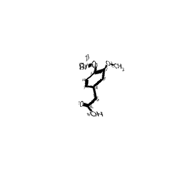 COc1cc(CC(=O)O)ccc1OBr